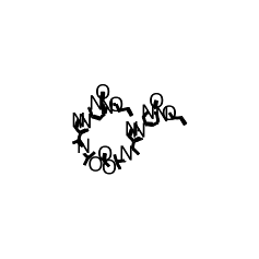 C=CCON1C(=O)N2CC(n3cc(/C(C)=N/CC(C)(C)OC(=O)OC(C)(C)C/N=C(\C)c4cnn(C5=CC6CN(C5)C(=O)N6OCC=C)c4)cn3)=CC1C2